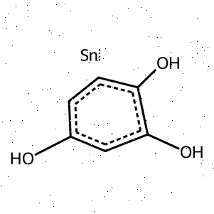 Oc1ccc(O)c(O)c1.[Sn]